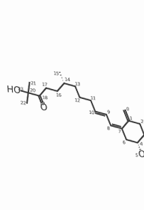 C=C1CC[C@H](O)C/C1=C/C=C/CCC[C@@H](C)CCC(=O)C(C)(C)O